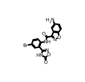 Nc1ccc2onc(C(=O)Nc3ccc(Br)cc3-c3noc(=O)[nH]3)c2c1